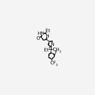 CCc1nc(-c2cnn(C(C)(CC)c3ccc(C(F)(F)F)cc3F)c2)cc(=O)[nH]1